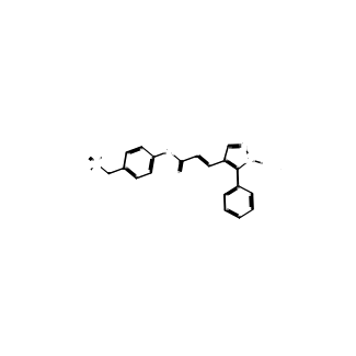 Cn1ncc(/C=C/C(=O)Nc2ccc(CP(=O)(O)O)cc2)c1-c1ccccc1